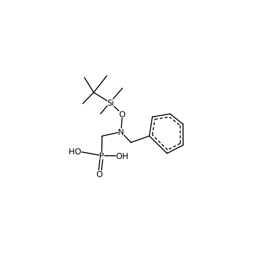 CC(C)(C)[Si](C)(C)ON(Cc1ccccc1)CP(=O)(O)O